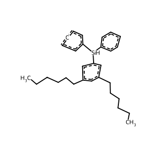 CCCCCCc1cc(CCCCCC)cc([SiH](c2ccccc2)c2ccccc2)c1